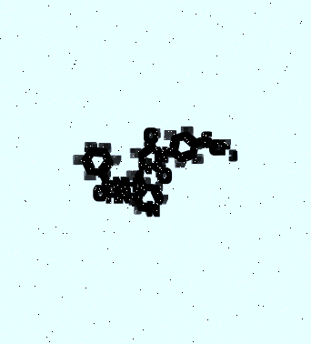 O=C(NNc1cnccc1CN1CC(=O)N(c2ccc(SC(F)(F)F)cc2)C1=O)c1ccccc1